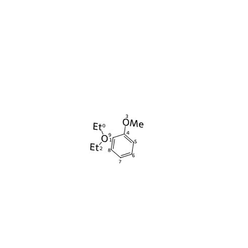 CCOCC.COc1ccccc1